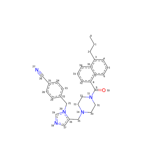 CCCc1cccc2c(C(=O)N3CCN(Cc4cncn4Cc4ccc(C#N)cc4)CC3)cccc12